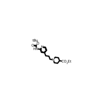 CCOC(=O)C1CCN(CCCc2ccnc(NC(=O)OC(C)(C)C)c2)CC1